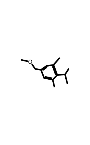 COCc1cc(C)c(C(C)C)c(C)c1